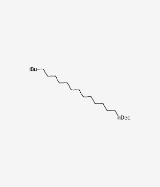 [CH2]CC(C)CCCCCCCCCCCCCCCCCCCCCCC